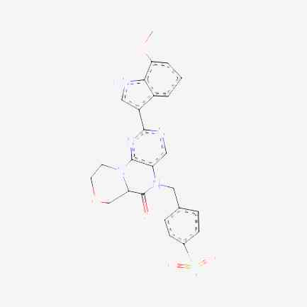 COc1cccc2c(-c3ncc4c(n3)N3CCOCC3C(=O)N4Cc3ccc(S(C)(=O)=O)cc3)c[nH]c12